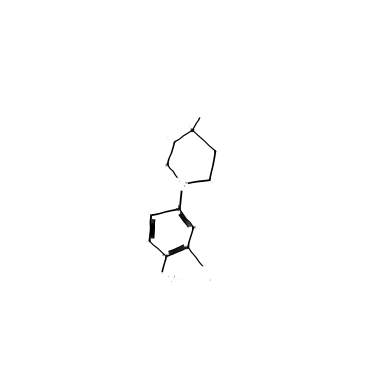 COc1ccc(N2CCC(C=O)CC2)cc1F.Cl